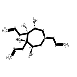 C=CCN1C[C@@H](O)[C@](O)(CC=C)[C@@](O)(CC=C)[C@H](O)C1